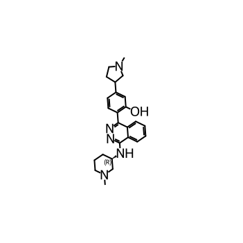 CN1CCC(c2ccc(-c3nnc(N[C@@H]4CCCN(C)C4)c4ccccc34)c(O)c2)C1